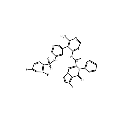 Cc1ccn2nc([C@H](C)Nc3ncnc(N)c3-c3cncc(NS(=O)(=O)c4ccc(F)cc4F)c3)n(-c3ccccc3)c(=O)c12